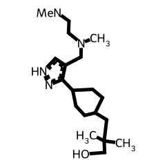 CNCCN(C)Cc1c[nH]nc1C1CCC(CC(C)(C)CO)CC1